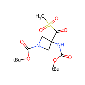 CC(C)(C)OC(=O)NC1(C(=O)S(C)(=O)=O)CN(C(=O)OC(C)(C)C)C1